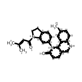 CC(C)=CC(=O)N1CCc2ccc(-n3c(=O)ccc4cnc5ccc(C)cc5c43)cc21